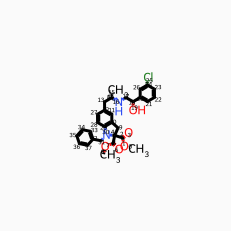 COC(=O)C1(C(=O)OC)Cc2cc(C[C@@H](C)NCC(O)c3cccc(Cl)c3)ccc2N1Cc1ccccc1